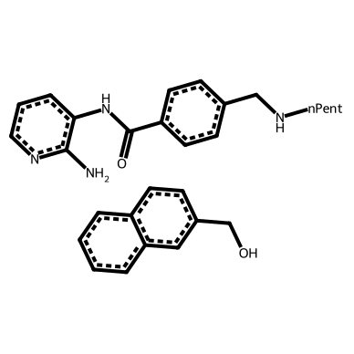 CCCCCNCc1ccc(C(=O)Nc2cccnc2N)cc1.OCc1ccc2ccccc2c1